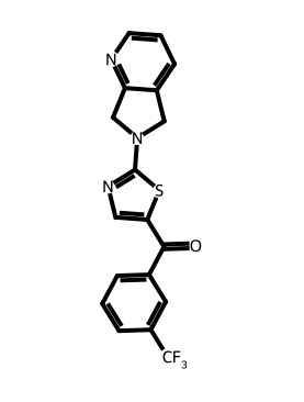 O=C(c1cccc(C(F)(F)F)c1)c1cnc(N2Cc3cccnc3C2)s1